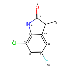 CC1C(=O)Nc2c(Cl)cc(F)cc21